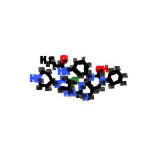 C=CC(=O)Nc1cccc(N2c3nc(Nc4cn(C5CCNCC5)nc4Cl)ncc3CN(c3ccccc3)C2O)c1